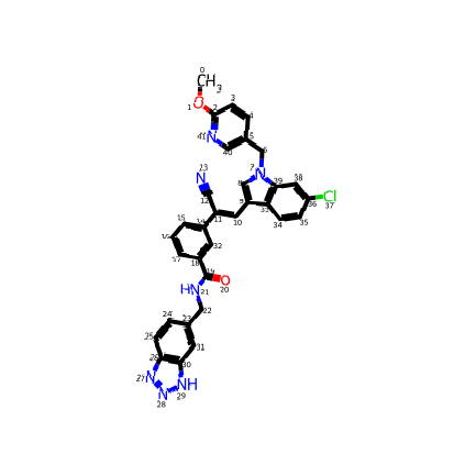 COc1ccc(Cn2cc(C=C(C#N)c3cccc(C(=O)NCc4ccc5nn[nH]c5c4)c3)c3ccc(Cl)cc32)cn1